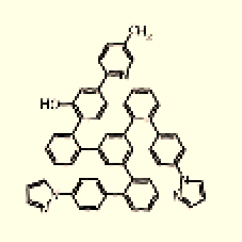 Cc1ccc(-c2ccc(-c3ccccc3-c3cc(-c4ccccc4-c4ccc(-n5cccn5)cc4)cc(-c4ccccc4-c4ccc(-n5cccn5)cc4)c3)c(O)c2)nc1